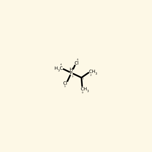 CC(C)[PH](C)(Cl)Cl